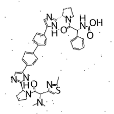 Cc1nc(C(C(=O)N2CCC[C@H]2c2ncc(-c3ccc(-c4ccc(-c5cnc([C@@H]6CCCN6C(=O)[C@H](NC(=O)O)c6ccccc6)[nH]5)cc4)cc3)[nH]2)N(C)C)cs1